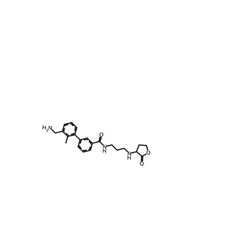 Cc1c(CN)cccc1-c1cccc(C(=O)NCCCNC2CCOC2=O)c1